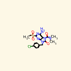 CCS(=O)(=O)c1nc(N)c2c(n1)n(Cc1ccc(Cl)cc1)c(=O)n2C(=O)N(C)C